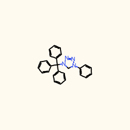 c1ccc(N2CN(C(c3ccccc3)(c3ccccc3)c3ccccc3)N=N2)cc1